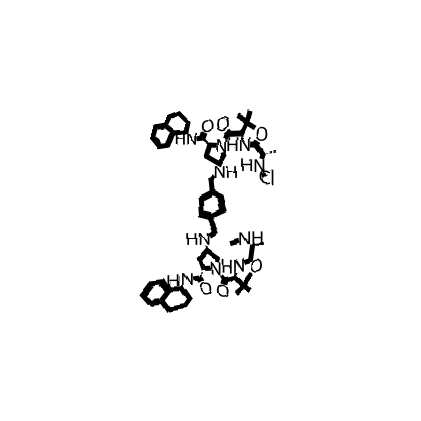 CN[C@@H](C)C(=O)N[C@H](C(=O)N1C[C@@H](NCc2ccc(CN[C@H]3C[C@@H](C(=O)N[C@@H]4CCCc5ccccc54)N(C(=O)[C@@H](NC(=O)[C@H](C)NCl)C(C)(C)C)C3)cc2)C[C@H]1C(=O)N[C@@H]1CCCc2ccccc21)C(C)(C)C